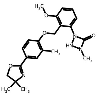 COc1cccc(-n2[nH]n(C)c2=O)c1COc1ccc(C2=NC(C)(C)CO2)cc1C